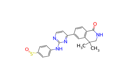 CC1(C)CNC(=O)c2ccc(-c3ccnc(Nc4ccc([S+]=O)cc4)n3)cc21